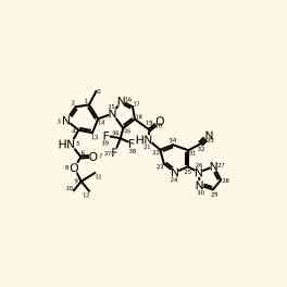 Cc1cnc(NC(=O)OC(C)(C)C)cc1-n1ncc(C(=O)Nc2cnc(-n3nccn3)c(C#N)c2)c1C(F)(F)F